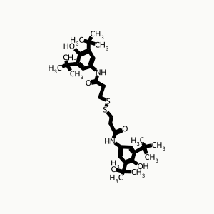 CC(C)(C)c1cc(NC(=O)CCSSCCC(=O)Nc2cc(C(C)(C)C)c(O)c(C(C)(C)C)c2)cc(C(C)(C)C)c1O